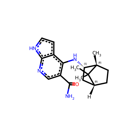 CC1(C)[C@@H]2CC[C@@]1(C)[C@@H](Nc1c(C(N)=O)cnc3[nH]ccc13)C2